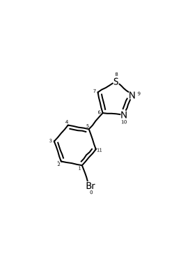 Brc1[c]ccc(-c2csnn2)c1